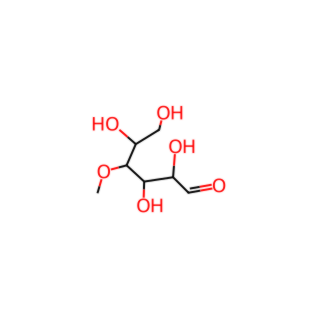 COC(C(O)CO)C(O)C(O)C=O